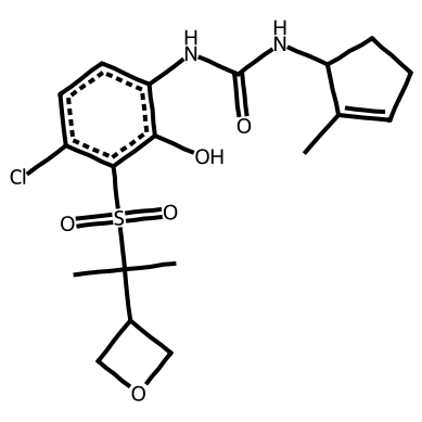 CC1=CCCC1NC(=O)Nc1ccc(Cl)c(S(=O)(=O)C(C)(C)C2COC2)c1O